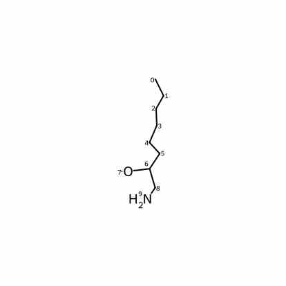 CCCCCCC([O])CN